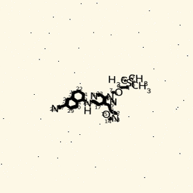 C[Si](C)(C)CCOCn1nc(-c2cnco2)c2cc(NC3CCCc4cc(C#N)ccc43)ncc21